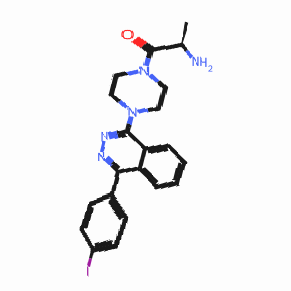 C[C@@H](N)C(=O)N1CCN(c2nnc(-c3ccc(I)cc3)c3ccccc23)CC1